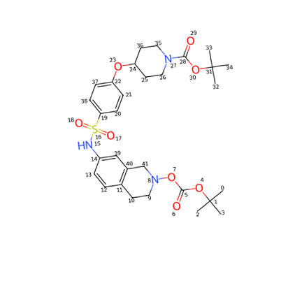 CC(C)(C)OC(=O)ON1CCc2ccc(NS(=O)(=O)c3ccc(OC4CCN(C(=O)OC(C)(C)C)CC4)cc3)cc2C1